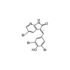 O=C1Nc2ncc(Br)cc2/C1=C\c1cc(Br)c(O)c(Br)c1